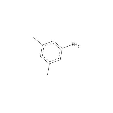 Cc1cc(C)cc(P)c1